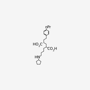 CCCc1ccc(CC[C@H](CC(CCCCNC2CCCC2)C(=O)O)C(=O)O)cc1